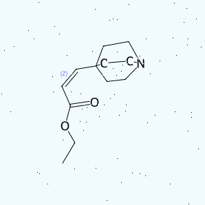 CCOC(=O)/C=C\C12CCN(CC1)CC2